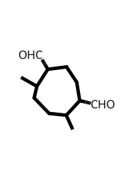 CC1CCC(C)C(C=O)CCC1C=O